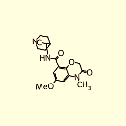 COc1cc(C(=O)NC2CN3CCC2CC3)c2c(c1)N(C)C(=O)CO2